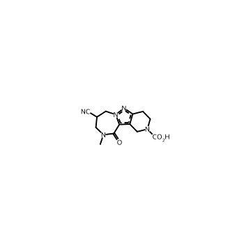 CN1CC(C#N)Cn2nc3c(c2C1=O)CN(C(=O)O)CC3